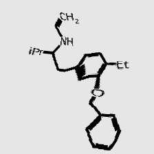 C=CNC(Cc1ccc(CC)c(OCc2ccccc2)c1)C(C)C